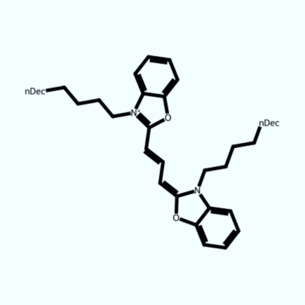 CCCCCCCCCCCCCCN1C(=CC=Cc2oc3ccccc3[n+]2CCCCCCCCCCCCCC)Oc2ccccc21